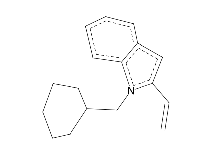 C=Cc1cc2ccccc2n1CC1CCCCC1